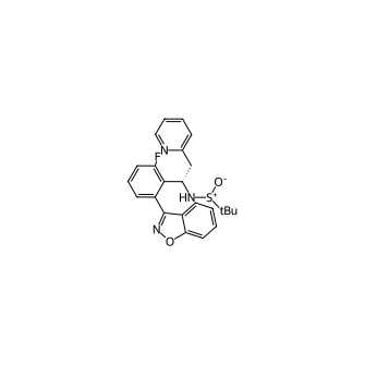 CC(C)(C)[S+]([O-])N[C@@H](Cc1ccccn1)c1c(F)cccc1-c1noc2ccccc12